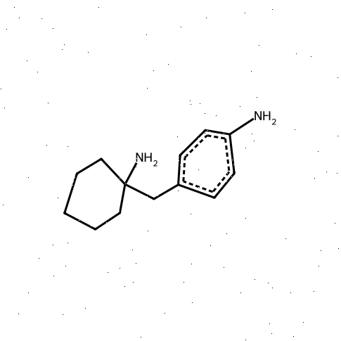 Nc1ccc(CC2(N)CCCCC2)cc1